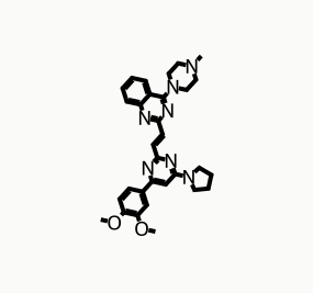 COc1ccc(-c2cc(N3CCCC3)nc(C=Cc3nc(N4CCN(C)CC4)c4ccccc4n3)n2)cc1OC